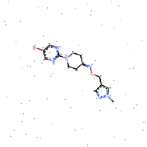 Cn1cc(CON=C2CCN(c3ncc(Br)cn3)CC2)cn1